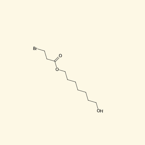 O=C(CCBr)OCCCCCCCO